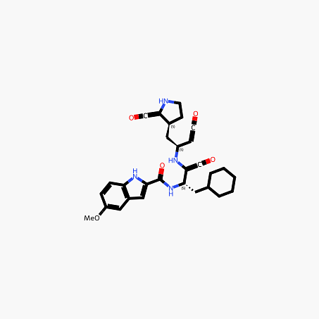 COc1ccc2[nH]c(C(=O)N[C@@H](CC3CCCCC3)C(=C=O)N[C@H](C=C=O)C[C@@H]3CCNC3=C=O)cc2c1